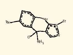 CCn1ncc2c1Nc1ccc(Br)cc1C2(N)Cl